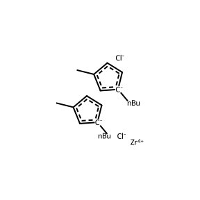 CCCC[c-]1ccc(C)c1.CCCC[c-]1ccc(C)c1.[Cl-].[Cl-].[Zr+4]